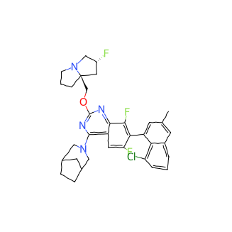 Cc1cc(-c2c(F)cc3c(N4CC5CCC(C5)C4)nc(OC[C@@]45CCCN4C[C@H](F)C5)nc3c2F)c2c(Cl)cccc2c1